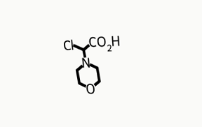 O=C(O)C(Cl)N1CCOCC1